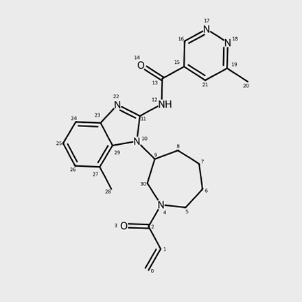 C=CC(=O)N1CCCCC(n2c(NC(=O)c3cnnc(C)c3)nc3cccc(C)c32)C1